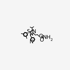 Cc1cc(C)cc(Sc2c(C(C)C)nc(CCCOC(N)=O)n2Cc2cccnc2)c1